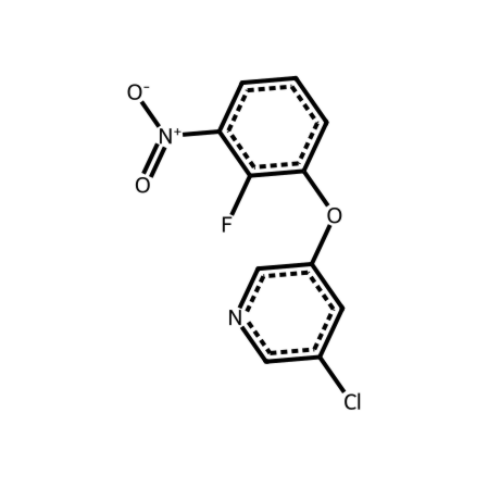 O=[N+]([O-])c1cccc(Oc2cncc(Cl)c2)c1F